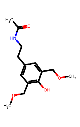 COCc1cc(CCNC(C)=O)cc(COC)c1O